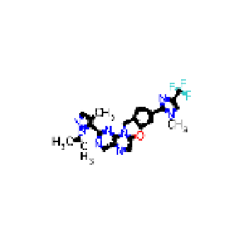 Cc1cnn(C(C)C)c1-c1ncc2ncc(=O)n(Cc3ccc(-c4nc(C(F)(F)F)cn4C)cc3)c2n1